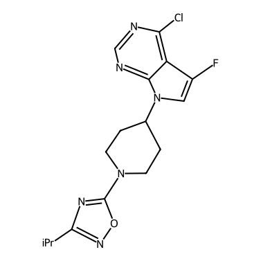 CC(C)c1noc(N2CCC(n3cc(F)c4c(Cl)ncnc43)CC2)n1